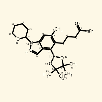 CCCC(=O)CCCc1c(C)cc2c(cnn2C2CCCCO2)c1B1OC(C)(C)C(C)(C)O1